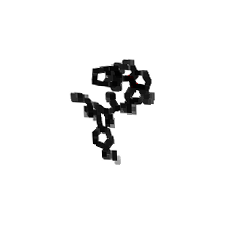 Cc1ccc(-n2nc(C(C)(C)C)cc2NC(=O)Nc2cccc(CC3CC4CCC(C3)N4S(=O)(=O)c3cc(Cl)ccc3Cl)c2)cc1